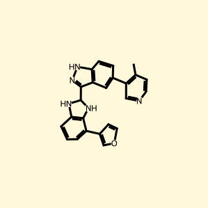 Cc1ccncc1-c1ccc2[nH]nc(C3Nc4cccc(-c5ccoc5)c4N3)c2c1